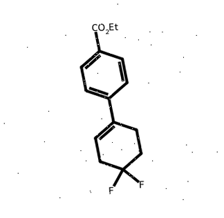 CCOC(=O)c1ccc(C2=CCC(F)(F)CC2)cc1